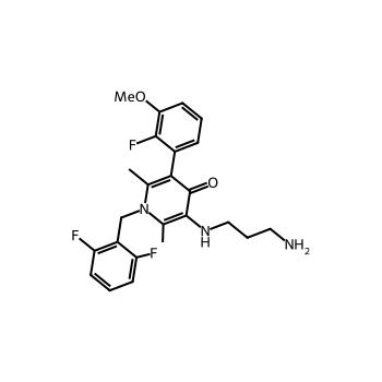 COc1cccc(-c2c(C)n(Cc3c(F)cccc3F)c(C)c(NCCCN)c2=O)c1F